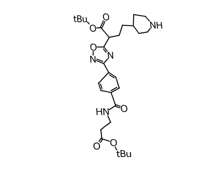 CC(C)(C)OC(=O)CCNC(=O)c1ccc(-c2noc(C(CCC3CCNCC3)C(=O)OC(C)(C)C)n2)cc1